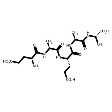 C[C@H](NC(=O)[C@H](C)NC(=O)[C@H](CCC(=O)O)NC(=O)[C@H](C)NC(=O)[C@@H](N)CCC(=O)O)C(=O)O